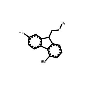 CC(C)OCC1c2cc(C(C)(C)C)ccc2-c2c1cccc2C(C)(C)C